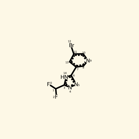 FC(F)c1nnc(-c2cncc(Br)c2)[nH]1